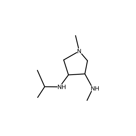 CNC1CN(C)CC1NC(C)C